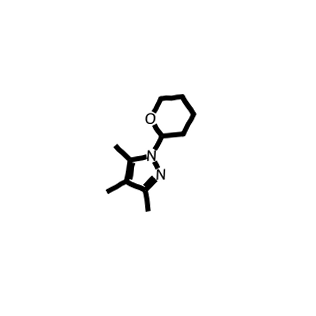 Cc1nn(C2CCCCO2)c(C)c1C